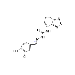 O=C(N/N=C/c1ccc(O)c(Cl)c1)Nc1cccc2nsnc12